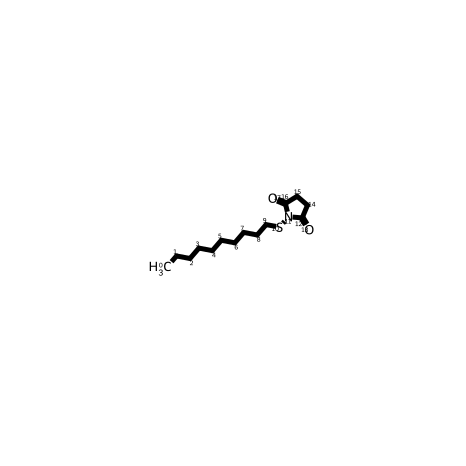 CCCCCCCCCCSN1C(=O)CCC1=O